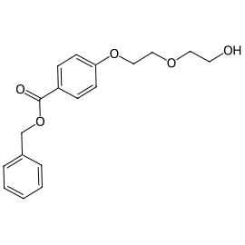 O=C(OCc1ccccc1)c1ccc(OCCOCCO)cc1